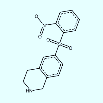 O=[N+]([O-])c1ccccc1S(=O)(=O)c1ccc2c(c1)CCNC2